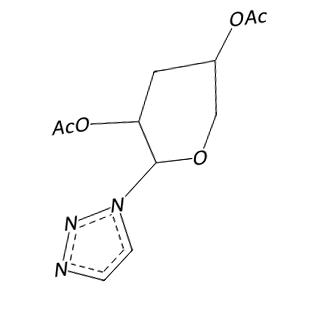 CC(=O)OC1COC(n2ccnn2)C(OC(C)=O)C1